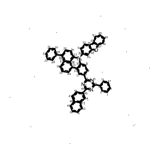 c1ccc(-c2nc(-c3ccc4c(c3)-c3cccc5c(-c6ccccc6)ccc(c35)N4c3ccc4c(c3)oc3ccccc34)nc(-c3ccc4ccccc4c3)n2)cc1